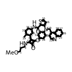 COCCCNc1c(-c2cc(NC(=O)c3sccc3N(Cc3ccnc4ccccc34)c3ccccc3)ccc2C)c(=O)c1=O